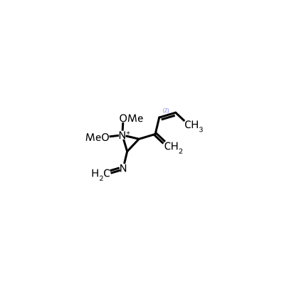 C=NC1C(C(=C)/C=C\C)[N+]1(OC)OC